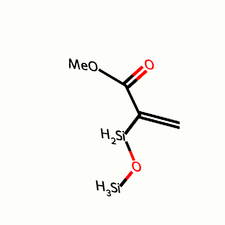 C=C([SiH2]O[SiH3])C(=O)OC